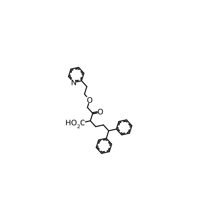 O=C(O)C(CCC(c1ccccc1)c1ccccc1)C(=O)COCCc1ccccn1